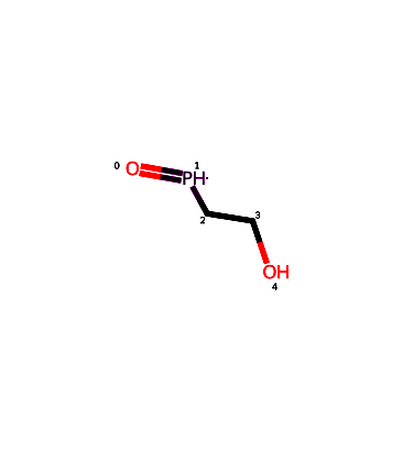 O=[PH]CCO